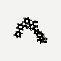 CC(C)(C)[C@H](NC(=O)c1cc2cc(C(F)(F)P(=O)(O)O)ccc2s1)C(=O)N1CCCC[C@H]1C(=O)N1CCC[C@H](c2ccccc2)C1